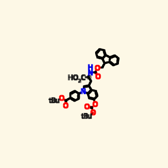 CC(C)(C)OC(=O)Oc1ccc2c(C[C@H](NC(=O)OCC3c4ccccc4-c4ccccc43)C(=O)O)cn(-c3ccc(C(=O)OC(C)(C)C)cc3)c2c1